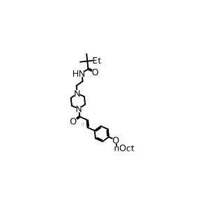 CCCCCCCCOc1ccc(/C=C/C(=O)N2CCN(CCNC(=O)C(C)(C)CC)CC2)cc1